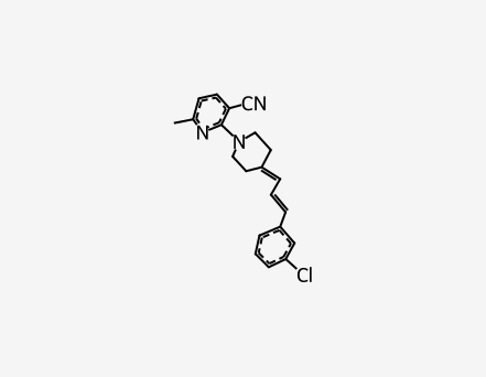 Cc1ccc(C#N)c(N2CCC(=CC=Cc3cccc(Cl)c3)CC2)n1